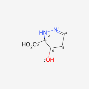 O=C(O)C1NN=CCC1O